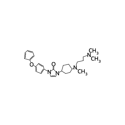 CN(C)CCCN(C)C1CCC(n2ccn(-c3ccc(Oc4ccccc4)cc3)c2=O)CC1